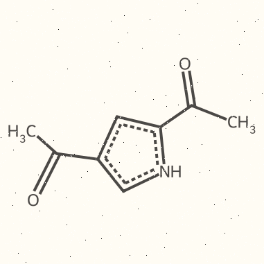 CC(=O)c1c[nH]c(C(C)=O)c1